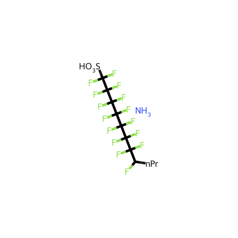 CCCC(F)C(F)(F)C(F)(F)C(F)(F)C(F)(F)C(F)(F)C(F)(F)C(F)(F)S(=O)(=O)O.N